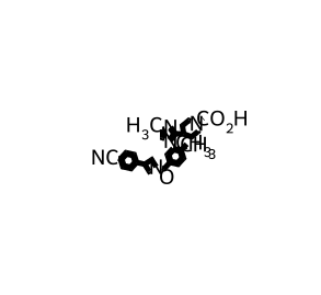 Cc1cn(-c2cc(C(=O)N3CC(c4ccc(C#N)cc4)C3)ccc2C)c(C2(C)CCN(C(=O)O)CC2)n1